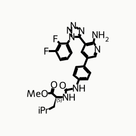 COC(=O)[C@H](CC(C)C)NC(=O)Nc1ccc(-c2cnc(N)c(-c3nnnn3-c3cccc(F)c3F)c2)cc1